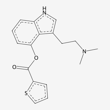 CN(C)CCc1c[nH]c2cccc(OC(=O)c3cccs3)c12